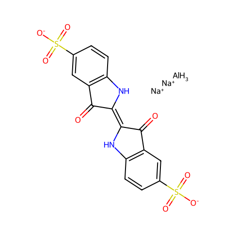 O=C1/C(=C2\Nc3ccc(S(=O)(=O)[O-])cc3C2=O)Nc2ccc(S(=O)(=O)[O-])cc21.[AlH3].[Na+].[Na+]